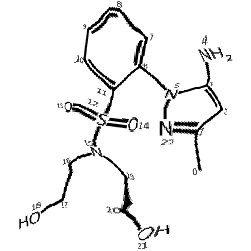 Cc1cc(N)n(-c2ccccc2S(=O)(=O)N(CCO)CCO)n1